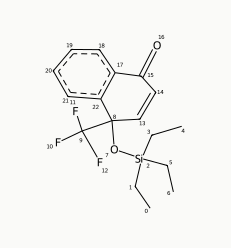 CC[Si](CC)(CC)OC1(C(F)(F)F)C=CC(=O)c2ccccc21